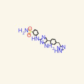 Nc1nc(Nc2cccc(S(N)(=O)=O)c2)ncc1-c1ccc(Cc2nc[nH]n2)cc1